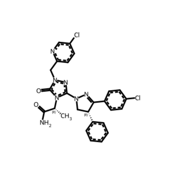 C[C@H](C(N)=O)n1c(N2C[C@@H](c3ccccc3)C(c3ccc(Cl)cc3)=N2)nn(Cc2ccc(Cl)cn2)c1=O